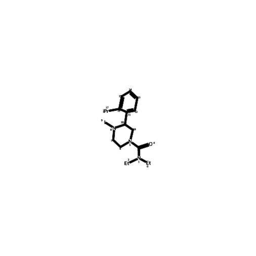 CCN(CC)C(=O)N1CCN(I)C(c2ccccc2C(C)C)C1